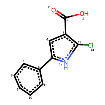 O=C(O)c1cc(-c2ccccc2)[nH]c1Cl